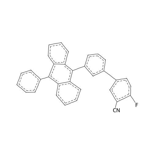 N#Cc1cc(-c2cccc(-c3c4ccccc4c(-c4ccccc4)c4ccccc34)c2)ccc1F